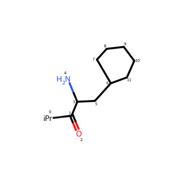 CC(C)C(=O)C(N)CC1CCCCC1